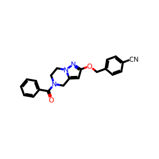 N#Cc1ccc(COc2cc3n(n2)CCN(C(=O)c2ccccc2)C3)cc1